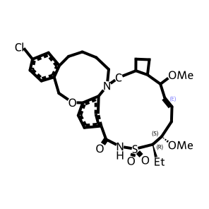 CC[C@@H]1[C@@H](OC)C/C=C/C(OC)C2CCC2CN2CCCCc3cc(Cl)ccc3COc3ccc(cc32)C(=O)NS1(=O)=O